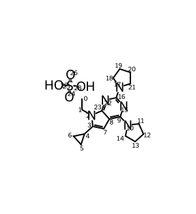 CCn1c(C2CC2)cc2c(N3CCCC3)nc(N3CCCC3)nc21.O=S(=O)(O)O